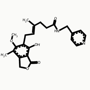 COc1c(C)c2c(c(O)c1C/C=C(\C)CCC(=O)NCc1ccncc1)C(=O)OC2